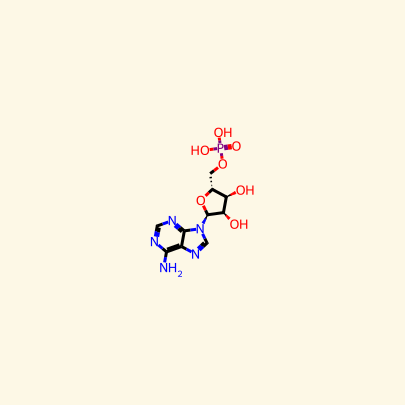 Nc1ncnc2c1ncn2[C@H]1O[C@H](COP(=O)(O)O)[C@@H](O)[C@H]1O